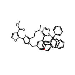 CCCCc1nc(-c2occc2C(=O)OC)cn1Cc1ccc(-c2ccccc2)c(-c2nnnn2C(c2ccccc2)(c2ccccc2)c2ccccc2)c1